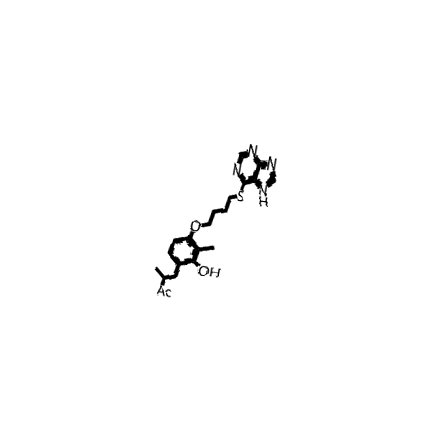 CC(=O)C(C)Cc1ccc(OCCCCSc2ncnc3nc[nH]c23)c(C)c1O